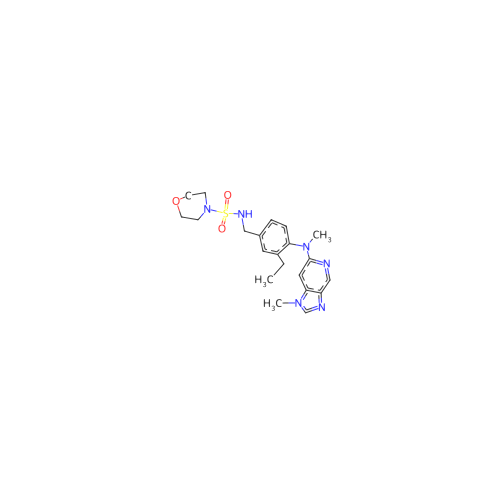 CCc1cc(CNS(=O)(=O)N2CCOCC2)ccc1N(C)c1cc2c(cn1)ncn2C